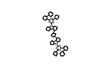 c1ccc(-c2nc(-c3ccccc3-c3ccccc3)nc(-n3c4ccccc4c4c(-c5cccc(-c6cccc7c6c6ccccc6n7-c6nc(-c7ccccc7)nc(-c7ccccc7-c7ccccc7)n6)c5)cccc43)n2)cc1